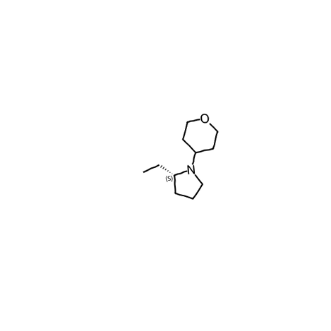 CC[C@H]1CCCN1C1CCOCC1